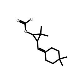 CC1(C)CCC(=CC2C(OC(=O)Cl)C2(C)C)CC1